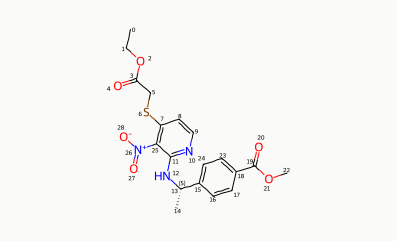 CCOC(=O)CSc1ccnc(N[C@@H](C)c2ccc(C(=O)OC)cc2)c1[N+](=O)[O-]